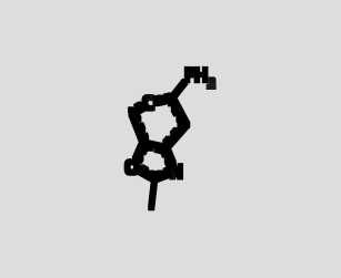 Cc1nc2cc(P)ccc2o1